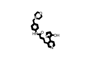 O=C(/C=C/Cc1cnccc1-c1sccc1O)Nc1ccc(CN2CCOCC2)cc1